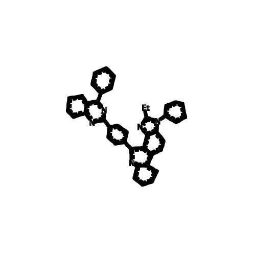 CCc1nc2c3c(-c4ccc(-c5nc(-c6ccccc6)c6ccccc6n5)cc4)nc4ccccc4c3ccc2n1-c1ccccc1